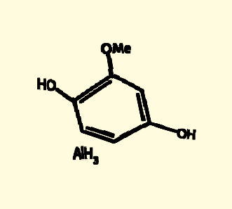 COc1cc(O)ccc1O.[AlH3]